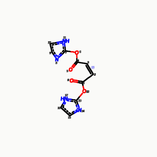 O=C(/C=C\C(=O)Oc1ncc[nH]1)Oc1ncc[nH]1